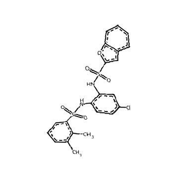 Cc1cccc(S(=O)(=O)Nc2ccc(Cl)cc2NS(=O)(=O)c2cc3ccccc3o2)c1C